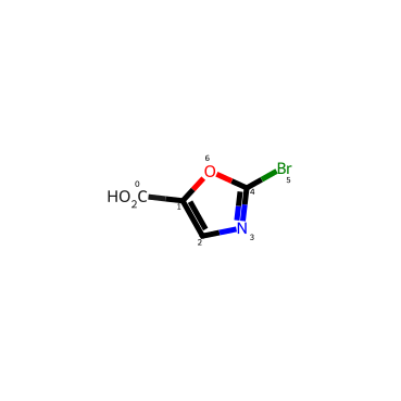 O=C(O)c1cnc(Br)o1